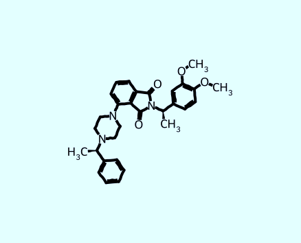 COc1ccc([C@@H](C)N2C(=O)c3cccc(N4CCN([C@H](C)c5ccccc5)CC4)c3C2=O)cc1OC